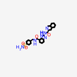 NS(=O)(=O)c1ccc(CNC(=O)c2cccc3nc(NC(=O)c4cc5ccccc5cn4)[nH]c23)cc1